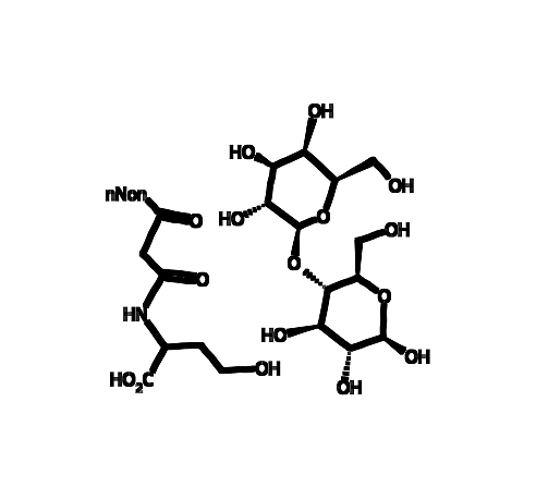 CCCCCCCCCC(=O)CC(=O)NC(CCO)C(=O)O.OC[C@H]1O[C@@H](O[C@H]2[C@H](O)[C@@H](O)[C@H](O)O[C@@H]2CO)[C@H](O)[C@@H](O)[C@H]1O